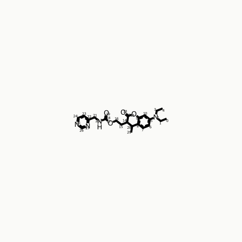 CCN(CC)c1ccc2c(c1)OC(=O)C(CCOC(=O)NCc1ccncn1)C2C